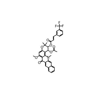 COc1cc2c(c3c1c(=O)c1cc4ccccc4cc1n3C)C(OC(C)=O)C(OC(=O)/C=C/c1cccc(C(F)(F)F)c1)C(C)(C)O2